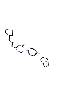 CN1[C@@H]2CC[C@H]1C[C@@H](Oc1ccc(-n3cnc4cc(C=C5CCOCC5)sc4c3=O)cc1)C2